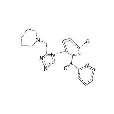 O=C(c1ccccn1)c1cc(Cl)ccc1-n1cnnc1CN1CCCCC1